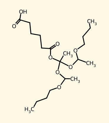 CCCCOC(C)OC(C)(OC(=O)CCCCC(=O)O)OC(C)OCCCC